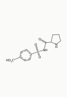 O=C(O)c1ccc(S(=O)(=O)NC(=O)C2CCCN2)cc1